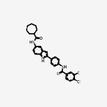 O=C(Nc1ccc(-c2cc3cc(NC(=O)C4CCCCCC4)ccc3[nH]2)cc1)c1ccc(Cl)c(Cl)c1